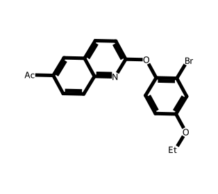 CCOc1ccc(Oc2ccc3cc(C(C)=O)ccc3n2)c(Br)c1